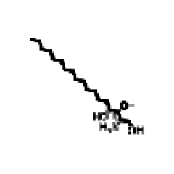 CCCCCCCCCCCCCC[C@@H](O)[C@@H](O)[C@@H](N)CO